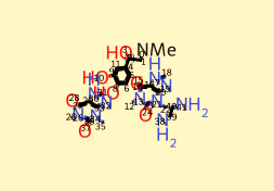 CNC[C@H](O)c1ccc(O)c(O)c1.Cn1c(=O)c2[nH]cnc2n(C)c1=O.Cn1c(=O)c2[nH]cnc2n(C)c1=O.NCCN